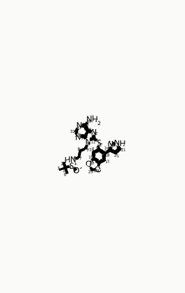 CC(C)(C)[S+]([O-])NCCCn1c(Sc2cc3c(cc2-c2cc[nH]n2)OCO3)nc2c(N)ncnc21